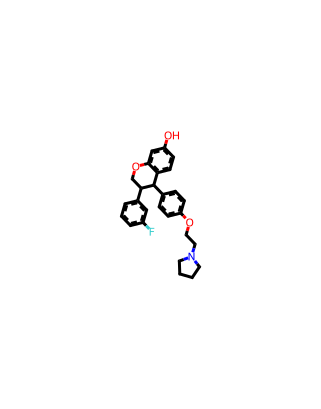 Oc1ccc2c(c1)OCC(c1cccc(F)c1)C2c1ccc(OCCN2CCCC2)cc1